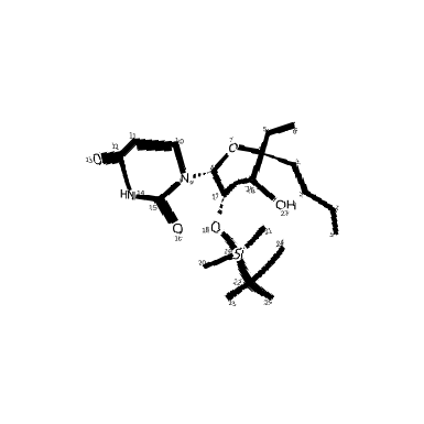 CCCC[C@]1(CC)O[C@@H](n2ccc(=O)[nH]c2=O)[C@@H](O[Si](C)(C)C(C)(C)C)C1O